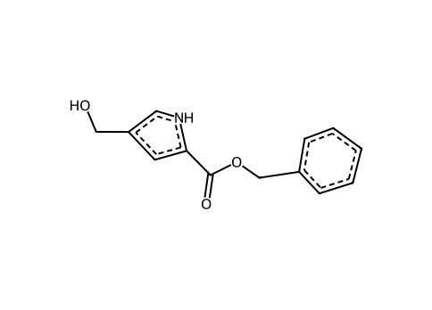 O=C(OCc1ccccc1)c1cc(CO)c[nH]1